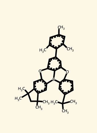 Cc1cc(C)c(-c2cc3c4c(c2)Oc2cc5c(cc2B4c2cc(C(C)(C)C)ccc2O3)C(C)(C)CC5(C)C)c(C)c1